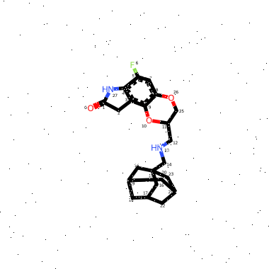 O=C1Cc2c(c(F)cc3c2OC(CNCC24CC5CC(CC(C5)C2)C4)CO3)N1